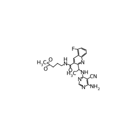 CC(Nc1ncnc(N)c1C#N)c1nc2cccc(F)c2cc1C(=O)NCCCS(C)(=O)=O